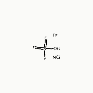 Cl.O=S(=O)(O)F.[Ta]